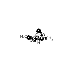 COC[C@@H]1CC[C@H](Nc2nc(Cl)nc3c2ccn3S(=O)(=O)c2ccc(C)cc2)CN1C(=O)OCc1ccccc1